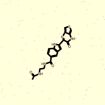 CC(=O)NCCNC(=O)c1ccc2[nH]c(-c3nc4cscc4[nH]c3=O)cc2c1